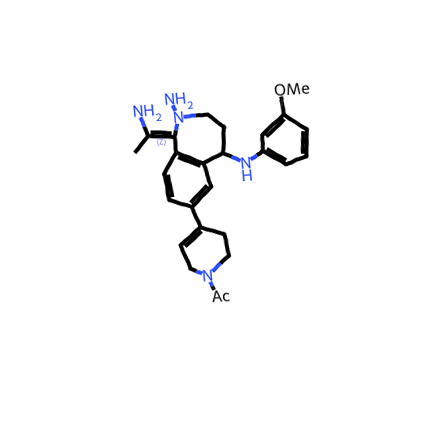 COc1cccc(NC2CCN(N)/C(=C(/C)N)c3ccc(C4=CCN(C(C)=O)CC4)cc32)c1